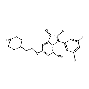 CC(C)(C)c1cc(OCCC2CCNCC2)cc2c1C(c1cc(F)cc(F)c1)=C(Br)C2=O